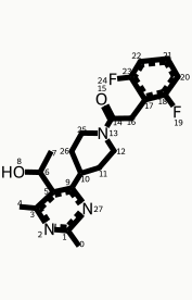 Cc1nc(C)c(C(C)O)c(C2CCN(C(=O)Cc3c(F)cccc3F)CC2)n1